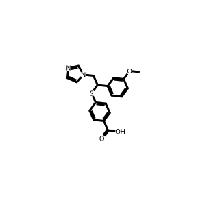 COc1cccc(C(Cn2ccnc2)Sc2ccc(C(=O)O)cc2)c1